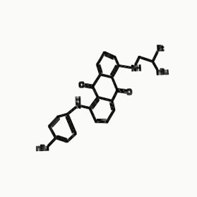 CCCCc1ccc(Nc2cccc3c2C(=O)c2cccc(NCC(CC)CCCC)c2C3=O)cc1